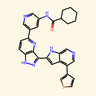 O=C(Nc1cncc(-c2ccc3[nH]nc(-c4cc5c(-c6ccsc6)cncc5[nH]4)c3n2)c1)C1CCCCC1